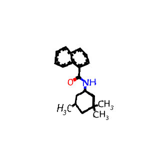 CC1CC(NC(=O)c2cccc3ccccc23)CC(C)(C)C1